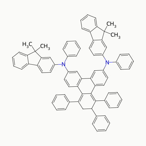 CC1(C)c2ccccc2-c2ccc(N(c3ccccc3)c3ccc4c5c(c6ccc(N(c7ccccc7)c7ccc8c(c7)C(C)(C)c7ccccc7-8)cc6c4c3)=C(c3ccccc3)C(c3ccccc3)CC=5c3ccccc3)cc21